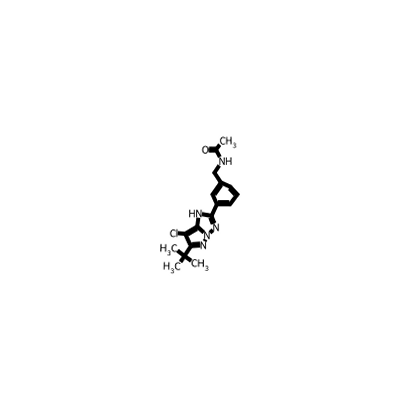 CC(=O)NCc1cccc(-c2nn3nc(C(C)(C)C)c(Cl)c3[nH]2)c1